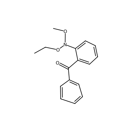 CCON(OC)c1ccccc1C(=O)c1ccccc1